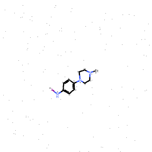 CCN1CCN(c2ccc(NI)cc2)CC1